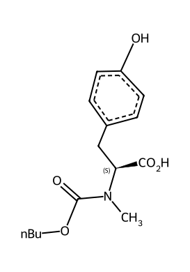 CCCCOC(=O)N(C)[C@@H](Cc1ccc(O)cc1)C(=O)O